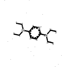 CCN(CC)c1[c]nc(N(CC)CC)cc1